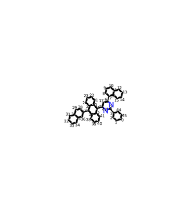 c1ccc(-c2nc(-c3cccc4ccccc34)cc(-c3c4ccccc4c(-c4ccc5ccccc5c4)c4ccccc34)n2)cc1